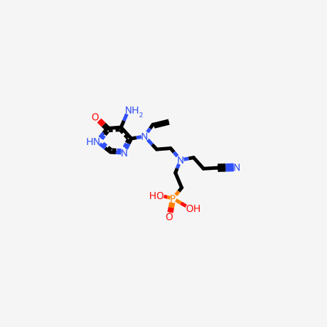 C=CN(CCN(CCC#N)CCP(=O)(O)O)c1nc[nH]c(=O)c1N